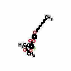 CCCCCCCCCCOc1ccc(OC(=O)c2ccc(O[C@H](C)[C@@H]3O[C@H]3C(C)C)c(F)c2)cc1